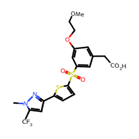 COCCOc1cc(CC(=O)O)cc(S(=O)(=O)c2ccc(-c3cc(C(F)(F)F)n(C)n3)s2)c1